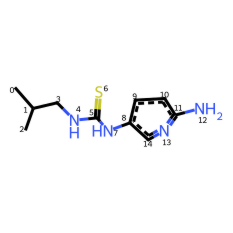 CC(C)CNC(=S)Nc1ccc(N)nc1